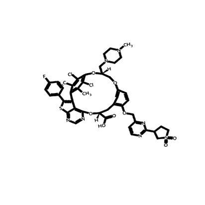 Cc1c(Cl)c2c(Cl)c(C)c1-c1c(-c3ccc(F)cc3)sc3ncnc(c13)O[C@@H](C(=O)O)Cc1cc(ccc1OCc1ccnc(C3CCS(=O)(=O)C3)n1)OC[C@@H](CN1CCN(C)CC1)O2